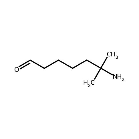 CC(C)(N)CCCCC=O